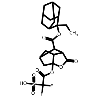 CCC1(OC(=O)C2C3CC4C2C(=O)OC4(OC(=O)C(F)(F)S(=O)(=O)O)C3)C2CC3CC(C2)CC1C3